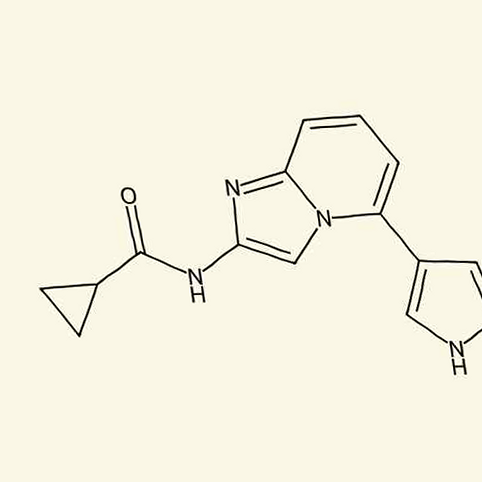 O=C(Nc1cn2c(-c3cn[nH]c3)cccc2n1)C1CC1